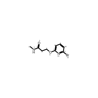 CNC(=O)CCOc1cccc(Br)n1